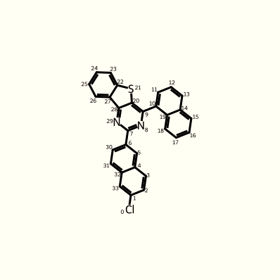 Clc1ccc2cc(-c3nc(-c4cccc5ccccc45)c4sc5ccccc5c4n3)ccc2c1